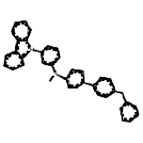 CN(c1ccc(-c2ccc(Cc3ccccc3)cc2)cc1)c1cccc(-n2c3ccccc3c3ccccc32)c1